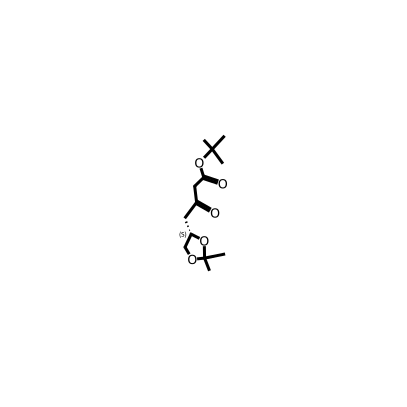 CC(C)(C)OC(=O)CC(=O)C[C@H]1COC(C)(C)O1